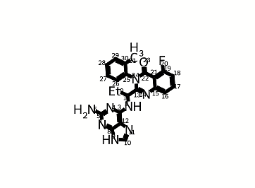 CCC(Nc1nc(N)nc2[nH]cnc12)c1nc2cccc(F)c2c(=O)n1-c1ccccc1C